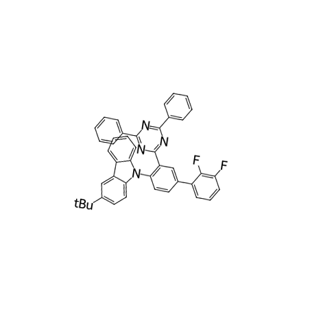 CC(C)(C)c1ccc2c(c1)c1ccccc1n2-c1ccc(-c2cccc(F)c2F)cc1-c1nc(-c2ccccc2)nc(-c2ccccc2)n1